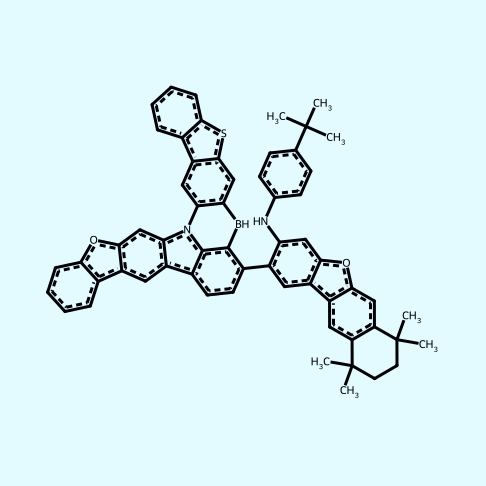 CC(C)(C)c1ccc(Nc2cc3oc4cc5c(cc4c3cc2-c2ccc3c4cc6c(cc4n4c3c2Bc2cc3sc7ccccc7c3cc2-4)oc2ccccc26)C(C)(C)CCC5(C)C)cc1